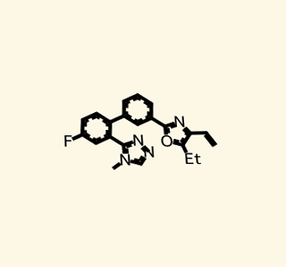 C=Cc1nc(-c2cccc(-c3ccc(F)cc3-c3nncn3C)c2)oc1CC